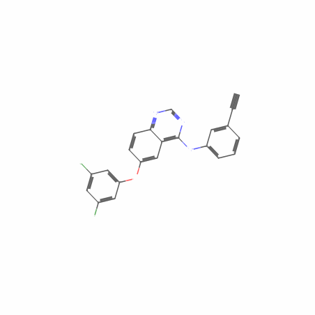 C#Cc1cccc(Nc2ncnc3ccc(Oc4cc(Cl)cc(Cl)c4)cc23)c1